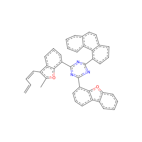 C=C/C=C\c1c(C)oc2c(-c3nc(-c4cccc5c4oc4ccccc45)nc(-c4cccc5ccc6ccccc6c45)n3)cccc12